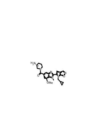 COc1cc(C(=O)N2CCC[C@@H](N)C2)cc2nc(-c3cc4cnoc4n3CC3CC3)n(C)c12